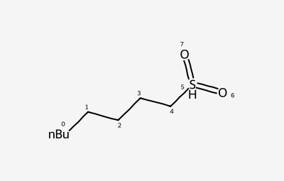 CCCCCCCC[SH](=O)=O